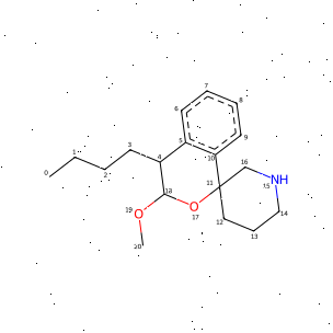 CCCCC1c2ccccc2C2(CCCNC2)OC1OC